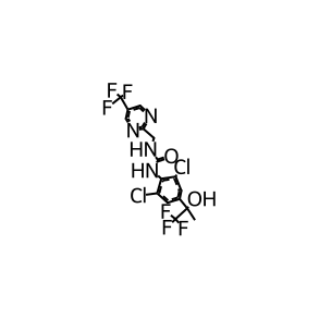 CC(O)(c1cc(Cl)c(NC(=O)NCc2ncc(C(F)(F)F)cn2)c(Cl)c1)C(F)(F)F